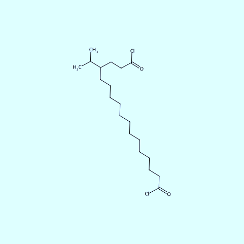 CC(C)C(CCCCCCCCCCCCC(=O)Cl)CCC(=O)Cl